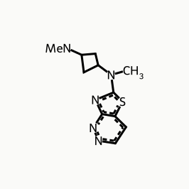 CNC1CC(N(C)c2nc3nnccc3s2)C1